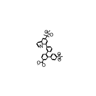 COC(=O)c1ccc(-c2cccc(-c3cc(C(C)(C)S(C)(=O)=O)cc4cccnc34)c2)c(-c2ccc(S(C)(=O)=O)cc2)c1